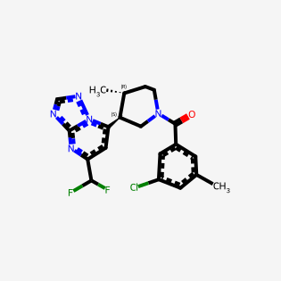 Cc1cc(Cl)cc(C(=O)N2CC[C@@H](C)[C@H](c3cc(C(F)F)nc4ncnn34)C2)c1